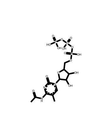 CC(=O)Nc1nc(=O)n(C2OC(COP(=O)(O)OP(=O)(O)OP(=O)(O)O)C(O)C2O)cc1C